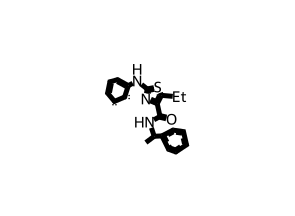 CCc1sc(NC2=CC=C[C][C]2)nc1C(=O)NC(C)c1ccccc1